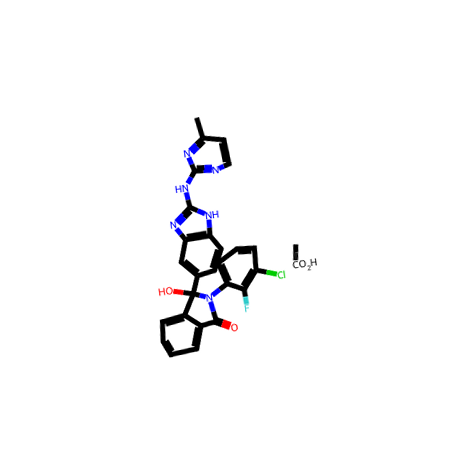 CC(=O)O.Cc1ccnc(Nc2nc3cc(C4(O)c5ccccc5C(=O)N4c4cccc(Cl)c4F)ccc3[nH]2)n1